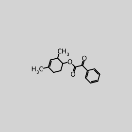 CC1=CC(C)C(OC(=O)C(=O)c2ccccc2)CC1